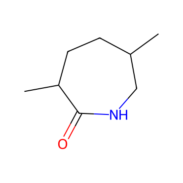 CC1CCC(C)C(=O)NC1